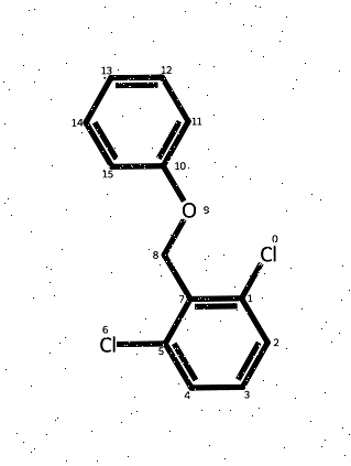 Clc1cccc(Cl)c1COc1cc[c]cc1